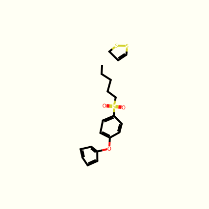 C1=CSSC1.CCCCCS(=O)(=O)c1ccc(Oc2ccccc2)cc1